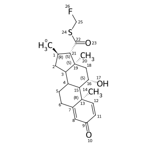 C[C@@H]1CC2C3CCC4=CC(=O)C=C[C@]4(C)C3[C@@H](O)C[C@]2(C)[C@H]1C(=O)SCF